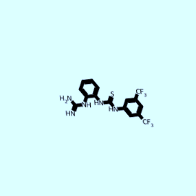 N=C(N)Nc1ccccc1NC(=S)Nc1cc(C(F)(F)F)cc(C(F)(F)F)c1